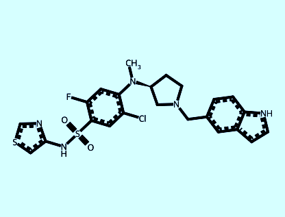 CN(c1cc(F)c(S(=O)(=O)Nc2cscn2)cc1Cl)[C@H]1CCN(Cc2ccc3[nH]ccc3c2)C1